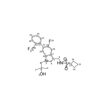 CC(C)(O)Cn1cc(CNS(=O)(=O)C2CCC2)c2cc(F)c(-c3ccccc3C(F)(F)F)cc21